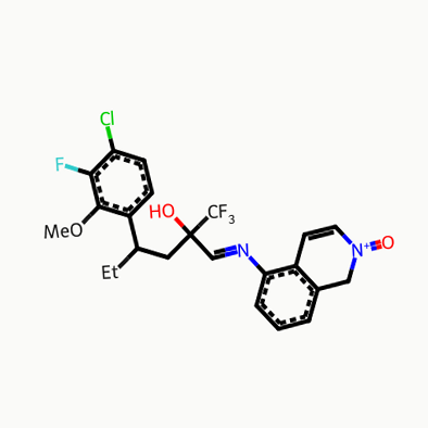 CCC(CC(O)(C=Nc1cccc2c1C=C[N+](=O)C2)C(F)(F)F)c1ccc(Cl)c(F)c1OC